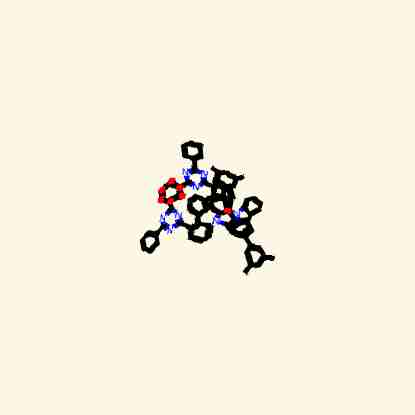 Cc1cc(C)cc(-c2ccc3c(c2)c2ccccc2n3Cc2cccc(-c3nc(-c4ccccc4)nc(-c4ccccc4)n3)c2-c2cccc(-c3c(-c4nc(-c5ccccc5)nc(-c5ccccc5)n4)cccc3-n3c4ccccc4c4cc(-c5cc(C)cc(C)c5)ccc43)c2)c1